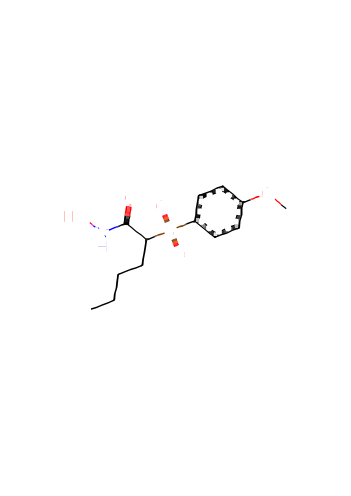 CCCCC(C(=O)NO)S(=O)(=O)c1ccc(OC)cc1